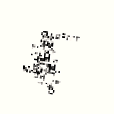 CCCCCC(=O)O[C@]1(C(C)=O)CC[C@H]2[C@@H]3CCC4=CC(=O)CC[C@]4(COC)[C@H]3CC[C@@]21C